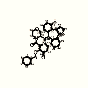 O=C1c2c(OCc3ccccc3)c(=O)ccn2N(C2c3ccccc3-c3sccc3-c3c(F)cccc32)C2COCCN12